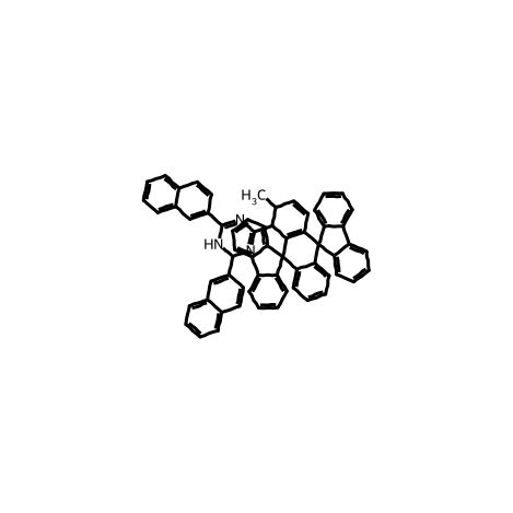 CC1C=CC2=C(C1C1=NC(c3ccc4ccccc4c3)NC(c3ccc4ccccc4c3)=N1)C1(c3ccccc3-c3ccccc31)c1ccccc1C21c2ccccc2-c2ccccc21